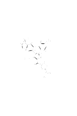 Cc1c(C(=O)N2CCC(N(C)C)C2)nc(-c2ccc(C#N)c(F)c2)n1-c1ccc2c(cnn2C)c1